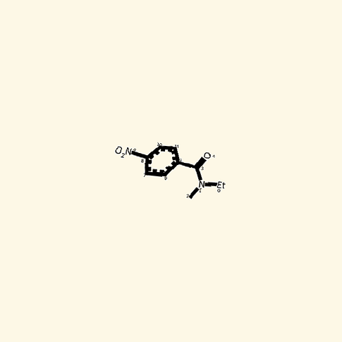 CCN(C)C(=O)c1ccc([N+](=O)[O-])cc1